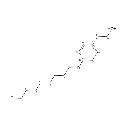 CCCCCCCCCOc1ccc(CCO)cc1